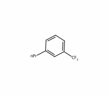 [CH]CCc1cccc(C(F)(F)F)c1